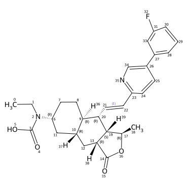 CCN(C(=O)O)[C@@H]1CC[C@@H]2[C@@H](C1)C[C@H]1C(=O)O[C@H](C)[C@H]1[C@H]2/C=C/c1ccc(-c2cccc(F)c2)cn1